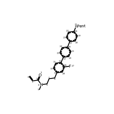 C=CC(=O)N(C)CCCc1ccc(-c2ccc(-c3ccc(CCCCC)cc3)cc2)c(F)c1